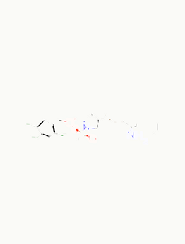 CS(=O)(=O)N1C[C@H](SSC[C@H](N)C(=O)O)C[C@H]1COCc1cc(F)c(F)cc1F